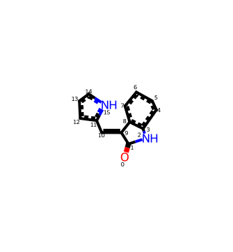 O=C1Nc2ccccc2/C1=C\c1ccc[nH]1